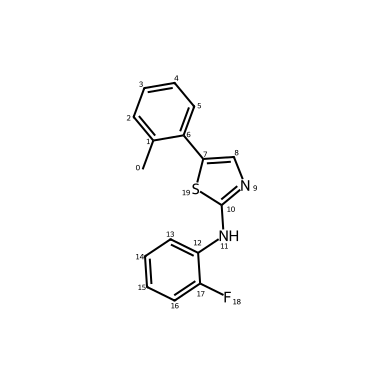 Cc1ccccc1-c1cnc(Nc2ccccc2F)s1